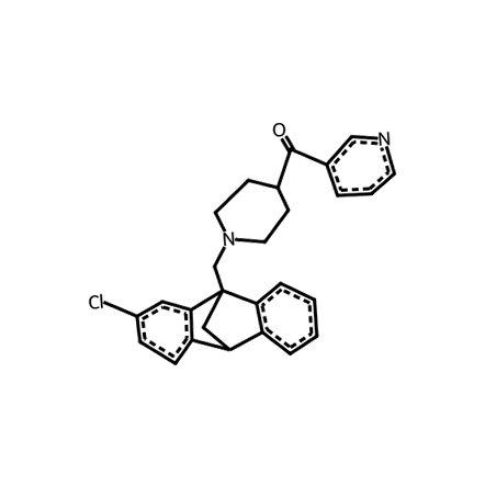 O=C(c1cccnc1)C1CCN(CC23CC(c4ccccc42)c2ccc(Cl)cc23)CC1